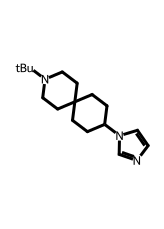 CC(C)(C)N1CCC2(CCC(n3ccnc3)CC2)CC1